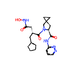 O=C(C[C@@H](CC1CCCC1)C(=O)N1CC2(CC2)C[C@H]1C(=O)Nc1cccnn1)NO